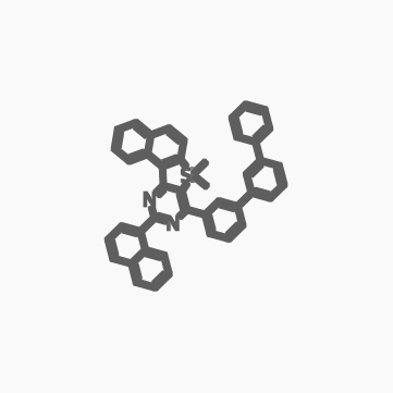 C[Si]1(C)c2ccc3ccccc3c2-c2nc(-c3cccc4ccccc34)nc(-c3cccc(-c4cccc(-c5ccccc5)c4)c3)c21